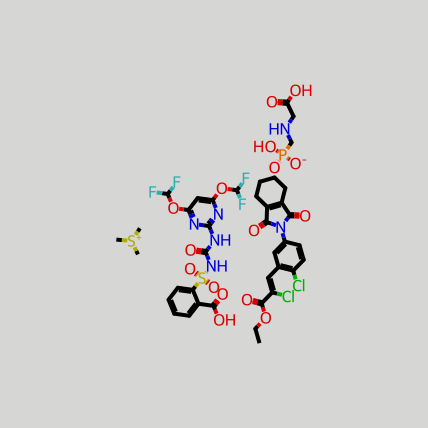 CCOC(=O)/C(Cl)=C/c1cc(N2C(=O)C3=C(CCCC3)C2=O)ccc1Cl.C[S+](C)C.O=C(Nc1nc(OC(F)F)cc(OC(F)F)n1)NS(=O)(=O)c1ccccc1C(=O)O.O=C(O)CNCP(=O)([O-])O